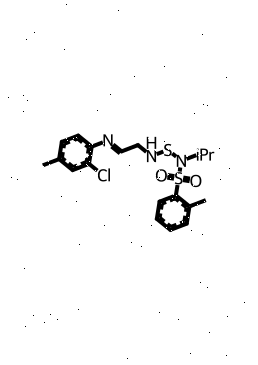 Cc1ccc(N=CCNSN(C(C)C)S(=O)(=O)c2ccccc2C)c(Cl)c1